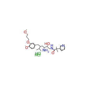 COCCCOc1cc(CC(CC(N)C(O)CNC(=O)C(C)(C)c2cccnc2)C(C)C)ccc1OC.Cl.Cl